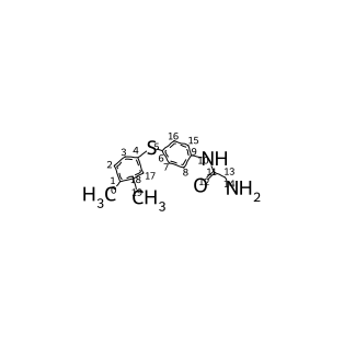 Cc1ccc(Sc2ccc(NC(=O)CN)cc2)cc1C